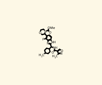 COC(=O)N1CCOCC1c1ccc2[nH]c(C(NC(=O)c3conc3C)C3CCC(C)CC3)nc2c1F